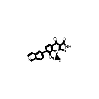 COc1c(-c2ccc3cnccc3c2)ccc2c(=O)c3c(=O)[nH]sc3n(C3CC3)c12